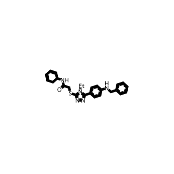 CCn1c(SCC(=O)NC2C=CC=CC2)nnc1-c1ccc(NCc2ccccc2)cc1